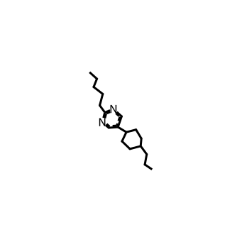 CCCCCc1ncc(C2CCC(CCC)CC2)cn1